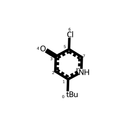 CC(C)(C)c1cc(=O)c(Cl)c[nH]1